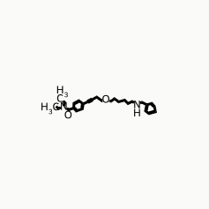 CCN(CC)C(=O)c1ccc(C#CCCOCCCCCCNCc2ccccc2)cc1